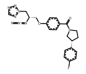 [N-]=[N+]=N[C@@H](COc1ccc(C(=O)N2CC[C@H](c3ccc(F)cc3)C2)cc1)Cn1ncnn1